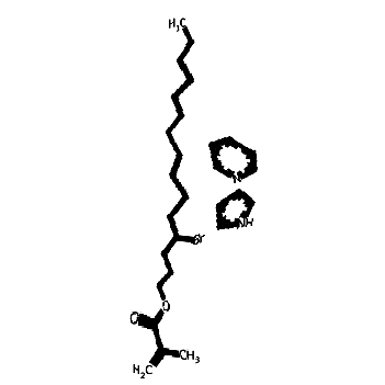 C=C(C)C(=O)OCCCC(Br)CCCCCCCCCCC.c1cc[nH]c1.c1ccncc1